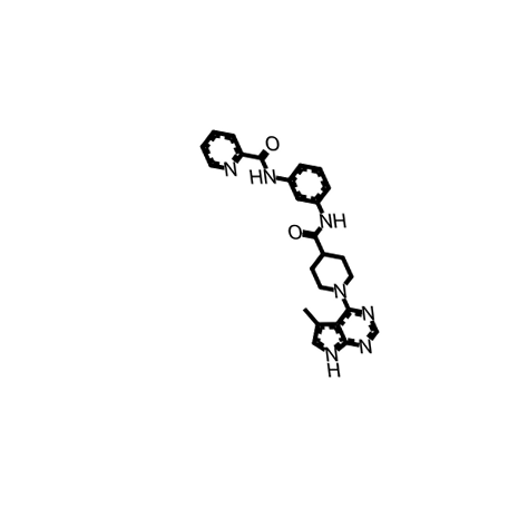 Cc1c[nH]c2ncnc(N3CCC(C(=O)Nc4cccc(NC(=O)c5ccccn5)c4)CC3)c12